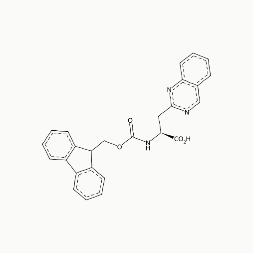 O=C(N[C@@H](Cc1ncc2ccccc2n1)C(=O)O)OCC1c2ccccc2-c2ccccc21